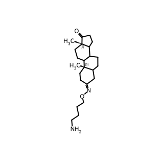 C[C@]12CCC(=NOCCCCN)CC1CCC1C2CC[C@]2(C)C(=O)CCC12